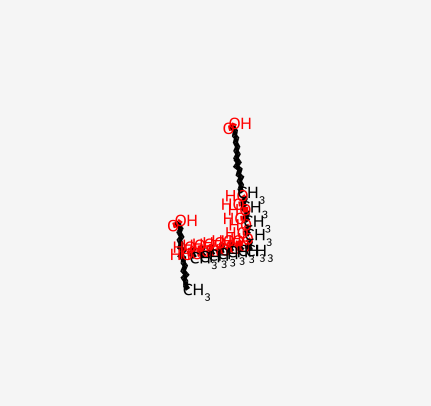 CC(O)CO.CC(O)CO.CC(O)CO.CC(O)CO.CC(O)CO.CC(O)CO.CC(O)CO.CC(O)CO.CC(O)CO.CC(O)CO.CCCCCCCCC=CCCCCCCCC(=O)O.CCCCCCCCC=CCCCCCCCC(=O)O